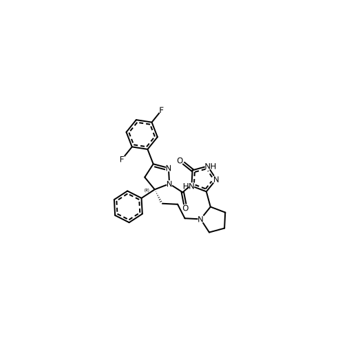 CC(=O)N1N=C(c2cc(F)ccc2F)C[C@]1(CCCN1CCCC1c1n[nH]c(=O)[nH]1)c1ccccc1